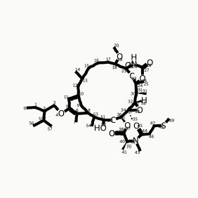 CCC(COC1=C(C)C2CC(=C1)CC(C)CCCC(OC)C1(O)CC(C)(OC(=O)N1)[C@@H](C)[C@@H]1O[C@@]1(C)[C@@H](OC(=O)[C@H](C)N(C)C(=O)CCSC)CC(O)C2C)C(C)C